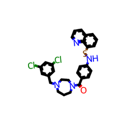 O=C(c1ccc(NSc2cccc3cccnc23)cc1)N1CCCN(Cc2cc(Cl)cc(Cl)c2)CC1